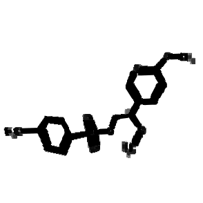 COc1ccc([C@H](COS(=O)(=O)c2ccc(C)cc2)OC)cn1